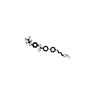 CCCCC[C@H]1CC[C@H](C2CCC(C(=O)Oc3ccc(OC(F)(F)C(F)F)cc3)CC2)CC1